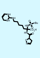 CCCCS(=O)(=O)NC(CCCCCNC1NC=CCN1)(NC(=O)C1CC=NO1)C(=O)O